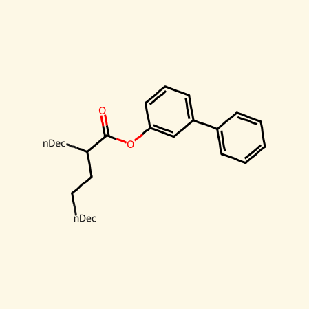 CCCCCCCCCCCCC(CCCCCCCCCC)C(=O)Oc1cccc(-c2ccccc2)c1